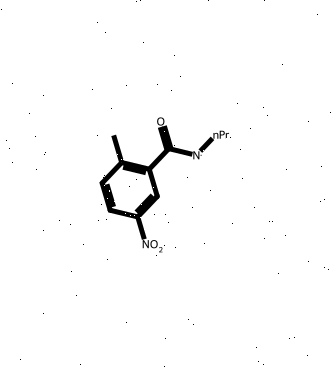 CCC[N]C(=O)c1cc([N+](=O)[O-])ccc1C